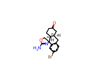 NC1=NC2(CO1)c1cc(Br)ccc1C[C@@H]1CC(=O)CC[C@H]12